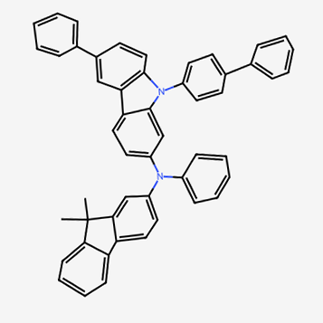 CC1(C)c2ccccc2-c2ccc(N(c3ccccc3)c3ccc4c5cc(-c6ccccc6)ccc5n(-c5ccc(-c6ccccc6)cc5)c4c3)cc21